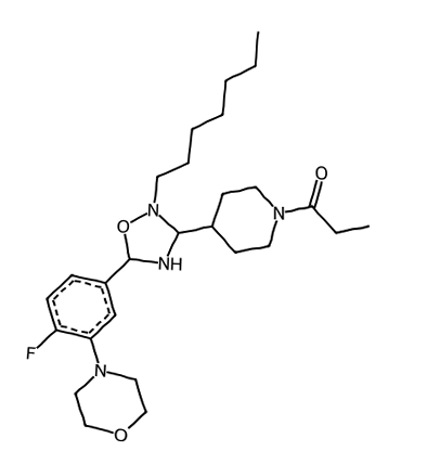 CCCCCCCN1OC(c2ccc(F)c(N3CCOCC3)c2)NC1C1CCN(C(=O)CC)CC1